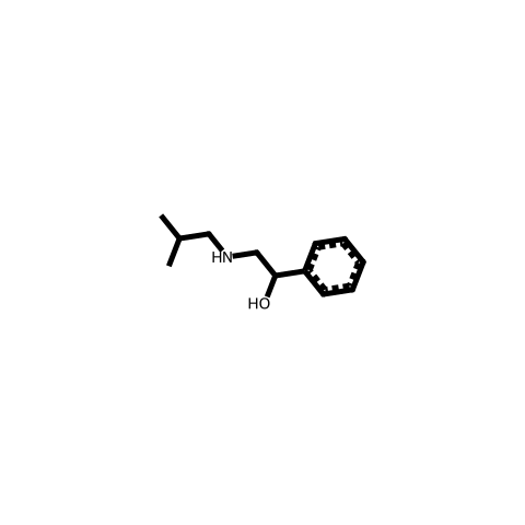 CC(C)CNCC(O)c1ccccc1